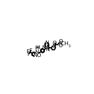 CS(=O)(=O)CCC(=O)N1CCCC(C2=C3C=NC=C[N+]3(N)C(c3ccc(C(=O)Nc4cc(C(F)(F)F)ccn4)cc3)=N2)C1